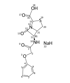 O=C(COc1ccccc1)N[C@H]1C(=O)N2C(C(=O)O)SCC12.[NaH]